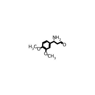 COc1ccc([C@H](N)CC=O)cc1OC